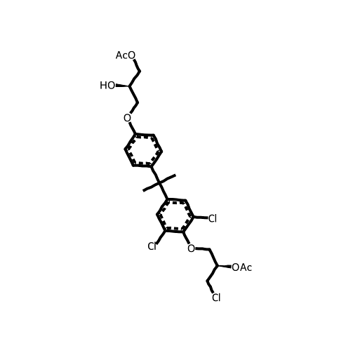 CC(=O)OC[C@H](O)COc1ccc(C(C)(C)c2cc(Cl)c(OC[C@H](CCl)OC(C)=O)c(Cl)c2)cc1